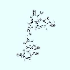 C[C@]1(O)C[C@@H](N2C(=O)NCc3cc(OCCN4CCC5(CC4)C(=O)Nc4ccc(Cl)cc45)cc(C(F)(F)F)c32)C1